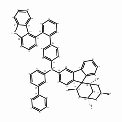 C[C@H]1C[C@@H]2C[C@H](C1)C1(c3ccccc3-c3cc(N(c4ccc(-c5ccccc5-c5cccc6oc7ccccc7c56)cc4)c4cccc(-c5ccccc5)c4)ccc31)[C@H](C)C2